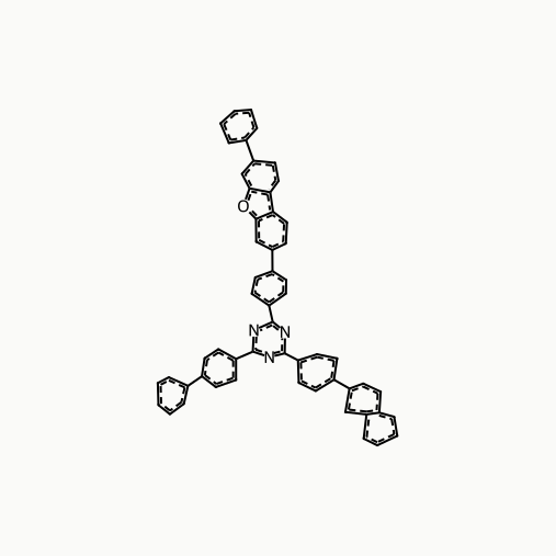 c1ccc(-c2ccc(-c3nc(-c4ccc(-c5ccc6ccccc6c5)cc4)nc(-c4ccc(-c5ccc6c(c5)oc5cc(-c7ccccc7)ccc56)cc4)n3)cc2)cc1